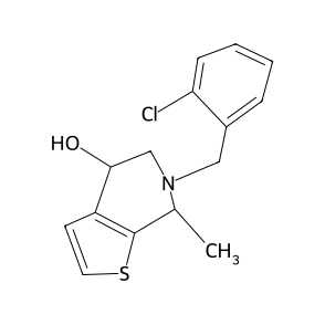 CC1c2sccc2C(O)CN1Cc1ccccc1Cl